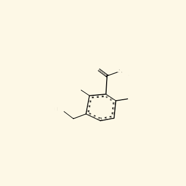 NC(=O)c1c(F)ccc(CO)c1F